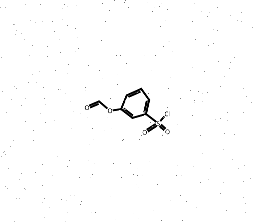 O=COc1cccc(S(=O)(=O)Cl)c1